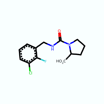 O=C(O)C1CCCN1C(=O)NCc1cccc(Cl)c1F